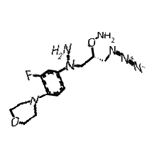 [N-]=[N+]=NC[C@H](CN(N)c1ccc(N2CCOCC2)c(F)c1)ON